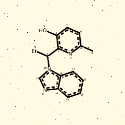 CCC(c1nc(C)ccc1O)n1cnc2ccccc21